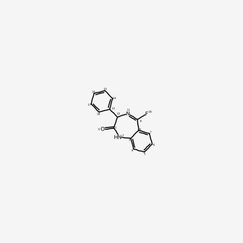 O=C1Nc2ccccc2C(F)=NC1c1ccccc1